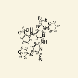 CS(=O)(=O)c1ccccc1Nc1cc(Nc2ccc(OC3CCOCC3)c(C#N)n2)nc2c1nc(C(F)F)n2C1CCCCO1